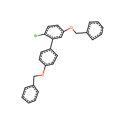 Brc1ccc(OCc2ccccc2)cc1-c1ccc(OCc2ccccc2)cc1